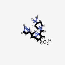 Cc1c(C(=O)O)cc2cc(-c3ccn(C)n3)cn2c1C(C)N1CCC(N(C)C)CC1